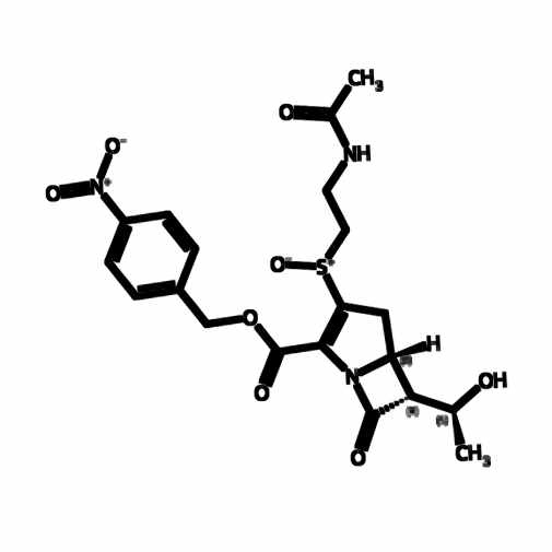 CC(=O)NCC[S+]([O-])C1=C(C(=O)OCc2ccc([N+](=O)[O-])cc2)N2C(=O)[C@@H]([C@H](C)O)[C@H]2C1